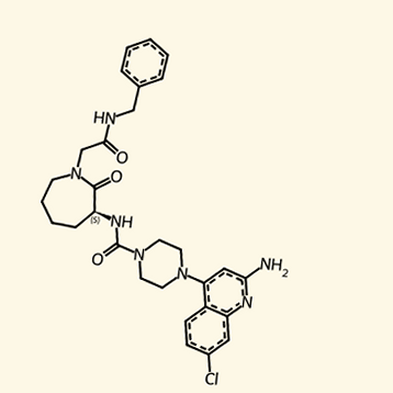 Nc1cc(N2CCN(C(=O)N[C@H]3CCCCN(CC(=O)NCc4ccccc4)C3=O)CC2)c2ccc(Cl)cc2n1